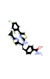 NC(=O)c1ccc(C[C@H](Nc2nc(-c3ccc(F)cc3F)cs2)c2csc(C3CC3)n2)cc1